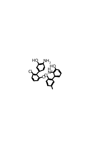 Cc1ccc(Cl)c(-c2cccc(O)c2N)c1.Nc1ccc(-c2c(Cl)cccc2Cl)cc1O